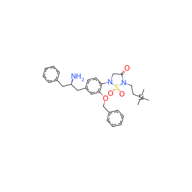 C[Si](C)(C)CCN1C(=O)CN(c2ccc(C[C@H](N)Cc3ccccc3)cc2OCc2ccccc2)S1(=O)=O